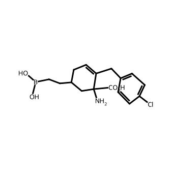 NC1(C(=O)O)CC(CCB(O)O)CC=C1Cc1ccc(Cl)cc1